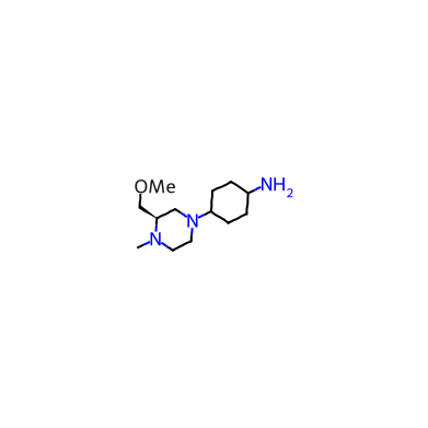 COC[C@H]1CN(C2CCC(N)CC2)CCN1C